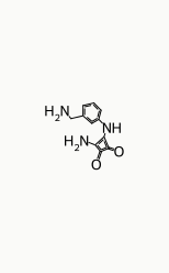 NCc1cccc(Nc2c(N)c(=O)c2=O)c1